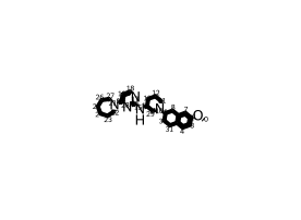 COc1ccc2c(c1)CC(N1CCCC(Nc3nccc(N4CCCCCC4)n3)C1)CC2